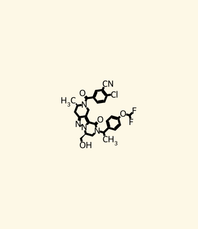 CC(c1ccc(OC(F)F)cc1)N1C[C@@H](CO)n2nc3c(c2C1=O)CN(C(=O)c1ccc(Cl)c(C#N)c1)[C@H](C)C3